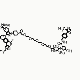 CNC(=O)N1CCc2c(c(N3CCCc4cc(-c5cnn(C)c5)c(C(F)F)cc43)nn2C2CCN(C(=O)COCCOCCOCCOCCOCC(=O)N[C@H](C(=O)N3C[C@H](O)C[C@H]3C(=O)NCc3ccc(-c4scnc4C)cc3)C(C)(C)C)CC2)C1